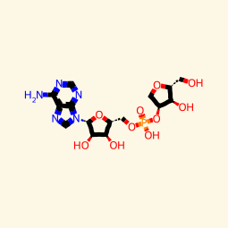 Nc1ncnc2c1ncn2[C@@H]1O[C@H](COP(=O)(O)O[C@H]2CO[C@H](CO)[C@H]2O)[C@@H](O)[C@H]1O